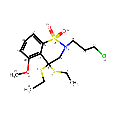 CCSC1(SCC)CN(CCCCl)S(=O)(=O)c2cccc(OC)c21